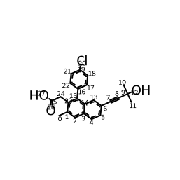 Cc1cc2ccc(C#CC(C)(C)O)cc2c(-c2ccc(Cl)cc2)c1CC(=O)O